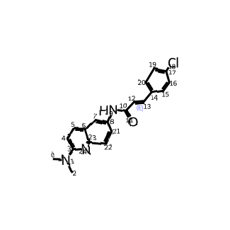 CN(C)c1ccc2cc(NC(=O)/C=C/c3ccc(Cl)cc3)ccc2n1